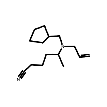 C=CCN(CC1CCCC1)C(C)CCCC#N